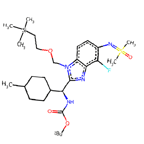 CC1CCC([C@H](NC(=O)OC(C)(C)C)c2nc3c(F)c(N=S(C)(C)=O)ccc3n2COCC[Si](C)(C)C)CC1